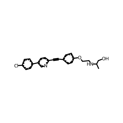 CC(CO)NCCOc1ccc(C#Cc2ccc(-c3ccc(Cl)cc3)cn2)cc1